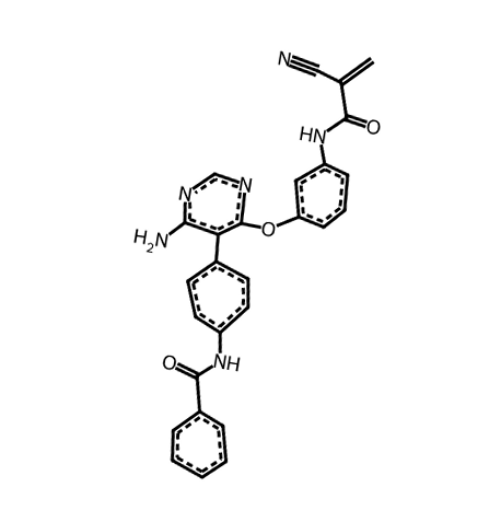 C=C(C#N)C(=O)Nc1cccc(Oc2ncnc(N)c2-c2ccc(NC(=O)c3ccccc3)cc2)c1